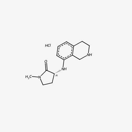 CN1CC[C@@H](Nc2cccc3c2CNCC3)C1=O.Cl